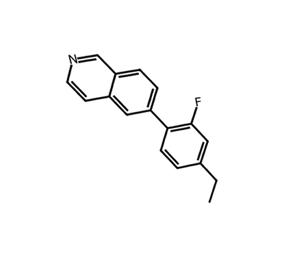 CCc1ccc(-c2ccc3cnccc3c2)c(F)c1